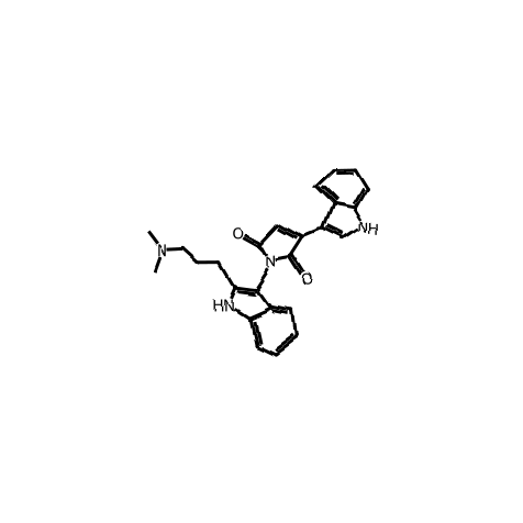 CN(C)CCCc1[nH]c2ccccc2c1N1C(=O)C=C(c2c[nH]c3ccccc23)C1=O